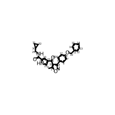 Cc1onc(-c2ccc(OCc3ccccc3)cc2)c1C(=O)c1c[nH]c(C(=O)NCC2CC2)c1